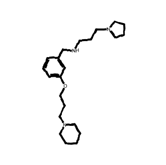 c1cc(CNCCCN2CCCC2)cc(OCCCN2CCCCC2)c1